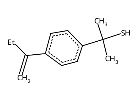 C=C(CC)c1ccc(C(C)(C)S)cc1